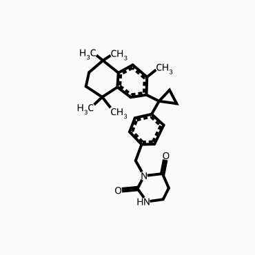 Cc1cc2c(cc1C1(c3ccc(CN4C(=O)CCNC4=O)cc3)CC1)C(C)(C)CCC2(C)C